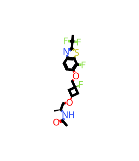 CC(=O)N[C@@H](C)CO[C@H]1C[C@](F)(COc2ccc3nc(C(C)(F)F)sc3c2F)C1